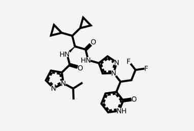 CC(C)n1nccc1C(=O)N[C@H](C(=O)Nc1cnn(C(CC(F)F)c2ccc[nH]c2=O)c1)C(C1CC1)C1CC1